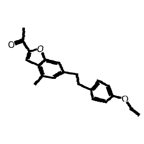 CCOc1ccc(CCc2cc(C)c3cc(C(C)=O)oc3c2)cc1